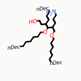 CCCCCCCCCCCCCCCCOCC(CCCN)C(OCCCCCCCCCCCCCCCC)C(CCO)CCCCCCCCCCCCC